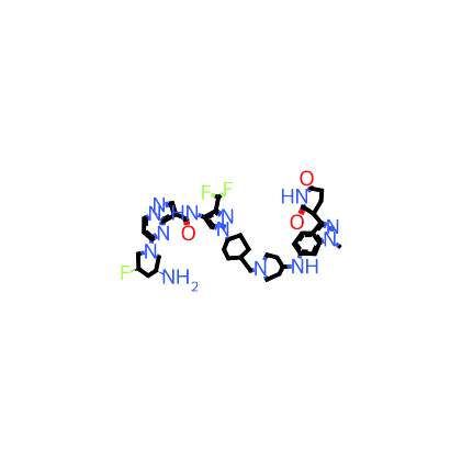 Cn1nc(C2CCC(=O)NC2=O)c2ccc(NC3CCN(CC4CCC(n5cc(NC(=O)c6cnn7ccc(N8C[C@H](N)C[C@@H](F)C8)nc67)c(C(F)F)n5)CC4)CC3)cc21